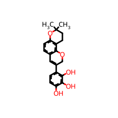 CC1(C)CCc2c(ccc3c2OCC(c2ccc(O)c(O)c2O)=C3)O1